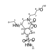 CCNC1CN(CCCOC)S(=O)(=O)c2sc(S(=O)(=O)NC)cc21